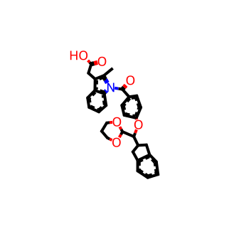 Cc1c(CC(=O)O)c2ccccc2n1C(=O)c1ccc(OC(C2Cc3ccccc3C2)C2OCCCO2)cc1